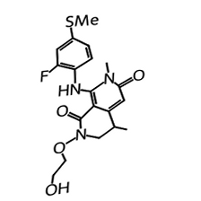 CSc1ccc(Nc2c3c(cc(=O)n2C)C(C)CN(OCCO)C3=O)c(F)c1